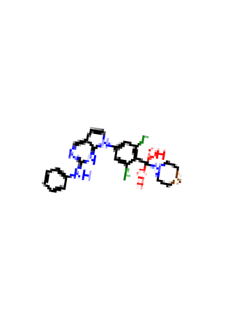 OC(O)(c1c(F)cc(-n2ccc3cnc(Nc4ccccc4)nc32)cc1F)N1CCSCC1